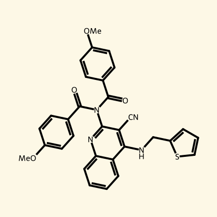 COc1ccc(C(=O)N(C(=O)c2ccc(OC)cc2)c2nc3ccccc3c(NCc3cccs3)c2C#N)cc1